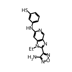 CCn1c(-c2nonc2N)nc2cnc(Nc3cccc(S)c3)cc21